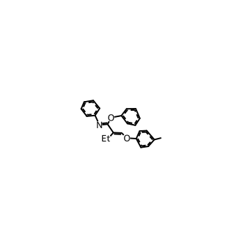 CCC(=C\Oc1ccc(C)cc1)/C(=N/c1ccccc1)Oc1ccccc1